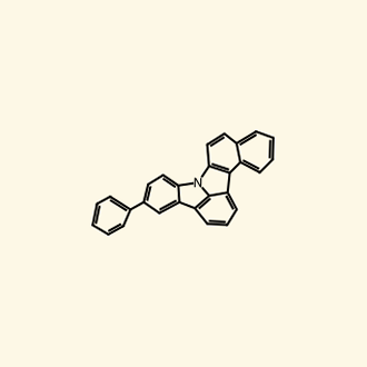 c1ccc(-c2ccc3c(c2)c2cccc4c5c6ccccc6ccc5n3c24)cc1